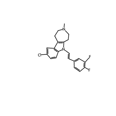 CN1CCc2c(n(/C=C/c3ccc(F)c(F)c3)c3ccc(Cl)cc23)CC1